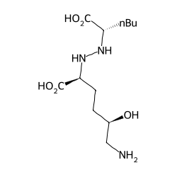 CCCC[C@H](NN[C@@H](CC[C@@H](O)CN)C(=O)O)C(=O)O